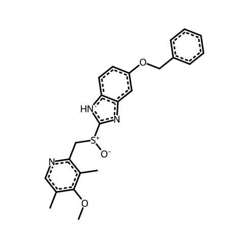 COc1c(C)cnc(C[S+]([O-])c2nc3cc(OCc4ccccc4)ccc3[nH]2)c1C